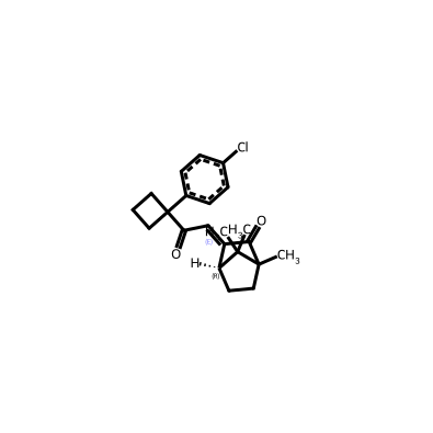 CC12CC[C@@H](/C(=C\C(=O)C3(c4ccc(Cl)cc4)CCC3)C1=O)C2(C)C